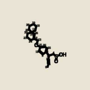 CC#CC(CS(=O)O)c1ccc(OCC2=CC3(CCCCC3)CCC2)cc1